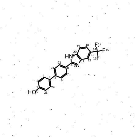 Oc1ccc(-c2ccc(-c3nc4cc(C(F)(F)F)ccc4[nH]3)cc2)cc1